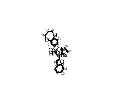 O=S(=O)(N[C@H](c1cc2ccccc2o1)c1nccs1)c1ccc2c(c1)OCCCO2